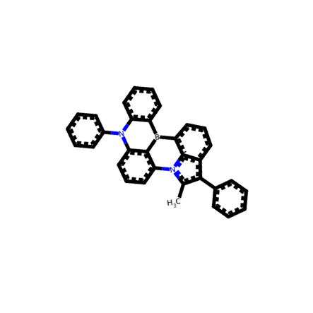 Cc1c(-c2ccccc2)c2cccc3c2n1-c1cccc2c1B3c1ccccc1N2c1ccccc1